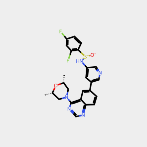 C[C@@H]1CN(c2ncnc3ccc(-c4cncc(N[S+]([O-])c5ccc(F)cc5F)c4)cc23)C[C@H](C)O1